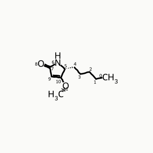 CCCCC[C@H]1NC(=O)C=C1OC